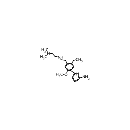 CCc1cc(-c2cccc(N)n2)c(OC)cc1CCNCCN(C)C